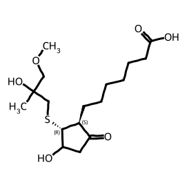 COCC(C)(O)CS[C@H]1C(O)CC(=O)[C@@H]1CCCCCCC(=O)O